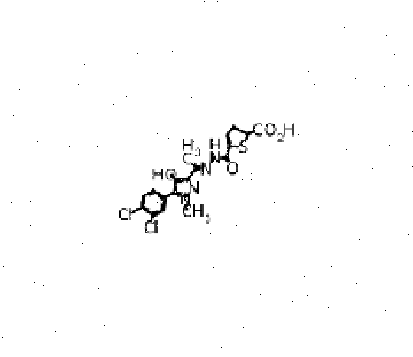 C/C(=N\NC(=O)C1=CCC(C(=O)O)S1)c1nn(C)c(-c2ccc(Cl)c(Cl)c2)c1O